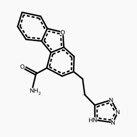 NC(=O)c1cc(C[CH]c2nnn[nH]2)cc2oc3ccccc3c12